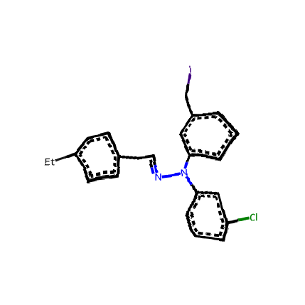 CCc1ccc(C=NN(c2cccc(Cl)c2)c2cccc(CI)c2)cc1